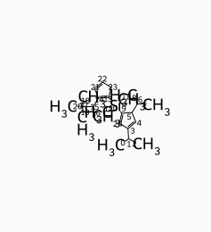 CC(C)C1=CC(C(C)C)C([Si](C)(C)C2=C(C(C)C(C)(C)C)C=CC2)=C1